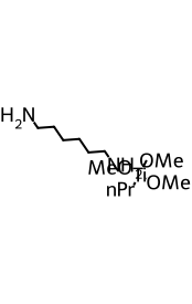 CC[CH2][Ti]([O]C)([O]C)[O]C.NCCCCCCN